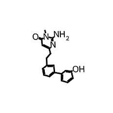 Cn1c(N)nc(CCc2cccc(-c3cccc(O)c3)c2)cc1=O